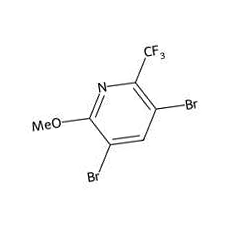 COc1nc(C(F)(F)F)c(Br)cc1Br